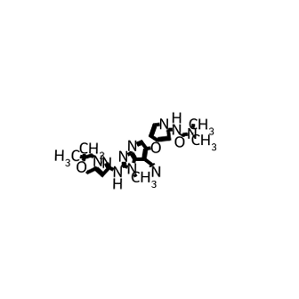 CN(C)C(=O)Nc1cc(Oc2cnc3nc(Nc4cc5n(n4)CC(C)(C)OC5)n(C)c3c2C#N)ccn1